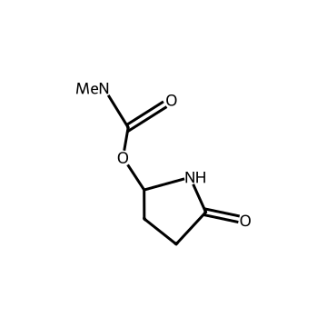 CNC(=O)OC1CCC(=O)N1